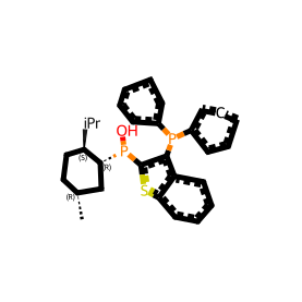 CC(C)[C@@H]1CC[C@@H](C)C[C@H]1P(O)c1sc2ccccc2c1P(c1ccccc1)c1ccccc1